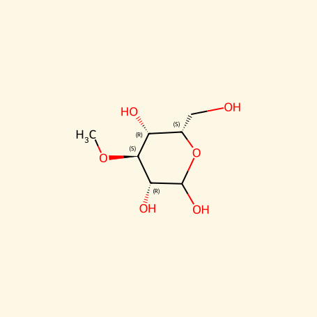 CO[C@H]1[C@H](O)[C@H](CO)OC(O)[C@@H]1O